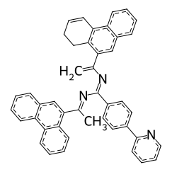 C=C(/N=C(\N=C(/C)c1cc2ccccc2c2ccccc12)c1ccc(-c2ccccn2)cc1)c1cc2ccccc2c2c1CCC=C2